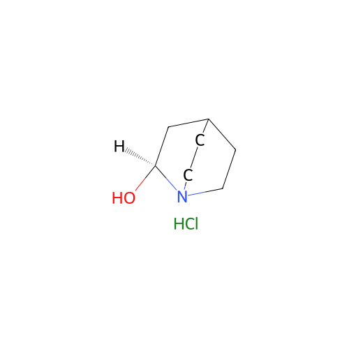 Cl.O[C@H]1CC2CCN1CC2